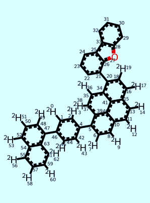 [2H]c1c([2H])c(-c2c([2H])c([2H])c3c([2H])c([2H])c4c([2H])c([2H])c(-c5cccc6c5oc5ccccc56)c5c([2H])c([2H])c2c3c45)c([2H])c([2H])c1-c1c([2H])c([2H])c([2H])c2c([2H])c([2H])c([2H])c([2H])c12